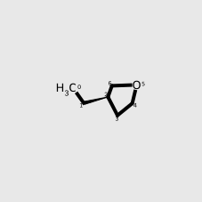 CC[C@@H]1CCOC1